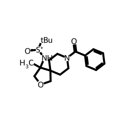 CC(C)(C)[S+]([O-])NC1(C)COCC12CCN(C(=O)c1ccccc1)CC2